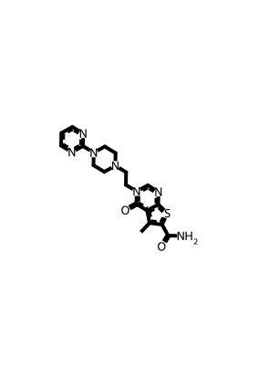 Cc1c(C(N)=O)sc2ncn(CCN3CCN(c4ncccn4)CC3)c(=O)c12